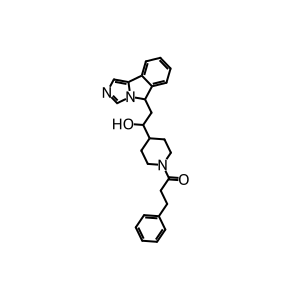 O=C(CCc1ccccc1)N1CCC(C(O)CC2c3ccccc3-c3cncn32)CC1